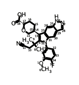 COc1cc(-n2c(C(C)(C)CC#N)c([C@@H]3CC[C@@H](C(=O)O)OC3)c3cc4[nH]ncc4cc32)ccc1F